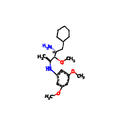 C=C(Nc1cc(OC)cc(OC)c1)C(OC)[C@H](N)CC1CCCCC1